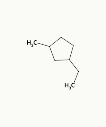 CCC1CCC(C)C1